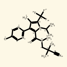 Cc1c(-c2ncc(Cl)cn2)c(C(=O)N(C)CC(C)(C)C#N)n(C(C)C)c1C(F)(F)F